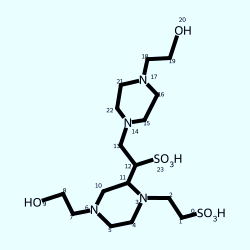 O=S(=O)(O)CCN1CCN(CCO)CC1C(CN1CCN(CCO)CC1)S(=O)(=O)O